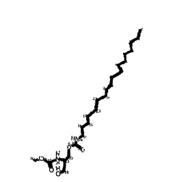 CCCCCCCCCCCCCCCCCCNC(=O)OCC(CO)NC(=O)OC